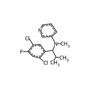 CC(C)C(c1cc(Cl)c(F)cc1Cl)N(C)c1cccnc1